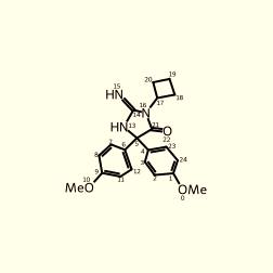 COc1ccc(C2(c3ccc(OC)cc3)NC(=N)N(C3CCC3)C2=O)cc1